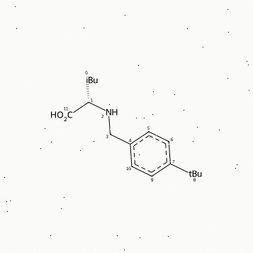 CCC(C)[C@H](NCc1ccc(C(C)(C)C)cc1)C(=O)O